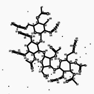 CC(=O)OC1C(CN=[N+]=[N-])OC(OC2C(N=[N+]=[N-])CC(N=[N+]=[N-])C(OC(C)=O)C2OC2OC(CO)C(OC3OC(CN=[N+]=[N-])C(OC(C)=O)C(OC(C)=O)C3N=[N+]=[N-])C2OC(C)=O)C(N=[N+]=[N-])C1F